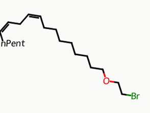 CCCCC/C=C\C/C=C\CCCCCCCCOCCBr